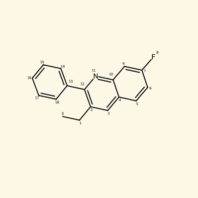 CCc1cc2ccc(F)cc2nc1-c1ccccc1